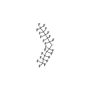 FC(F)(F)C(F)(F)C(F)(F)C(F)(F)C(F)(F)[CH]C(F)(F)C(F)(F)C(F)(F)C(F)(F)C(F)(F)F